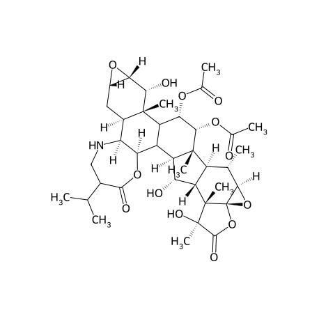 CC(=O)O[C@H]1C2C([C@H]3OC(=O)C(C(C)C)CN[C@H]3[C@H]3C[C@@H]4O[C@@H]4[C@H](O)[C@]23C)[C@@H]2[C@@H](O)[C@@H]3[C@H]([C@H](C)[C@H]4O[C@]45OC(=O)[C@@](C)(O)[C@]35C)[C@@]2(C)[C@H]1OC(C)=O